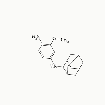 COc1cc(NC2C3CC4CC(C3)CC2C4)ccc1N